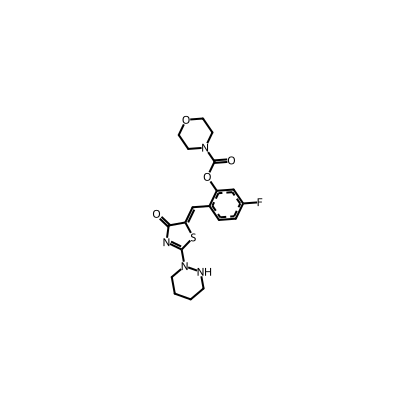 O=C1N=C(N2CCCCN2)S/C1=C\c1ccc(F)cc1OC(=O)N1CCOCC1